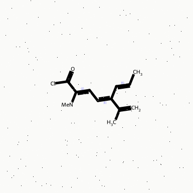 C=C(C)C(/C=C/C)=C/C=C(\NC)C(=O)Cl